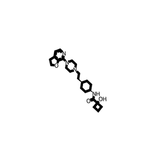 O=C(N[C@H]1CC[C@H](CCN2CCN(c3nccc4c3OCC4)CC2)CC1)C1(O)CCC1